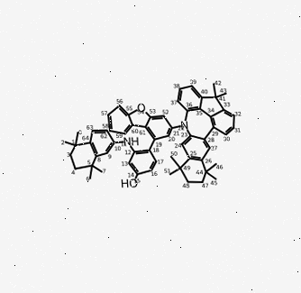 CC1(C)CCC(C)(C)c2cc(Nc3cc(O)ccc3-c3cc(N4c5cc6c(cc5-c5cccc7c5-c5c4cccc5C7(C)C)C(C)(C)CCC6(C)C)cc4oc5ccccc5c34)ccc21